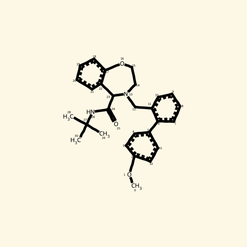 COc1ccc(-c2ccccc2CN2CCOc3ccccc3C2C(=O)NC(C)(C)C)cc1